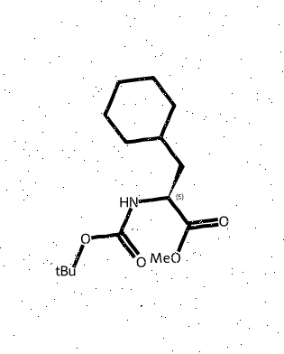 COC(=O)[C@H](CC1CCCCC1)NC(=O)OC(C)(C)C